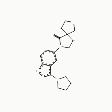 O=C1N(c2ccc3[nH]nc(N4CCCC4)c3c2)CCC12CCNC2